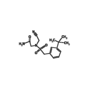 CC(C)(C)c1cccc(CS(=O)(=O)N(CC#N)CC(N)=O)c1